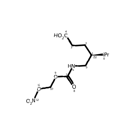 CC(C)[C@H](CCC(=O)O)CNC(=O)OCO[N+](=O)[O-]